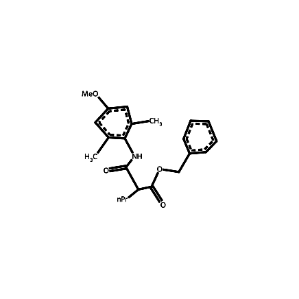 CCCC(C(=O)Nc1c(C)cc(OC)cc1C)C(=O)OCc1ccccc1